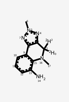 [2H]C1([2H])c2nn(C)nc2-c2cccc(N)c2N1C